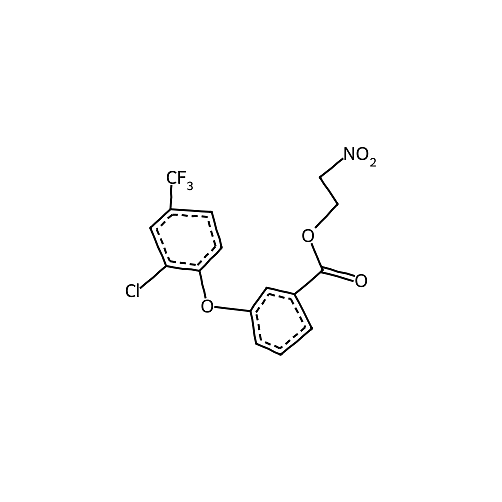 O=C(OCC[N+](=O)[O-])c1cccc(Oc2ccc(C(F)(F)F)cc2Cl)c1